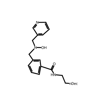 CCCCCCCCCCCCNC(=O)c1cccc(CN(O)Cc2cccnc2)c1